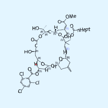 C=C1C[C@H]2C[C@H]3C[C@@H](OC(=O)c4c(Cl)cc(Cl)cc4Cl)C[C@@H](C[C@@H](O)CC(=O)O[C@@H]([C@@H](C)O)C[C@@H]4C/C(=C\C(=O)OC)[C@H](OC(=O)CCCCCCC)[C@@](O)(O4)C(C)(C)/C=C/[C@@H](C1)O2)O3